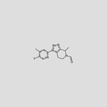 Cc1cc(-n2nnc3c2CCN(C=O)C3C)ncc1F